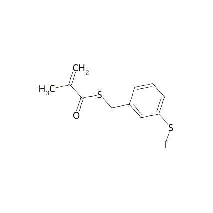 C=C(C)C(=O)SCc1cccc(SI)c1